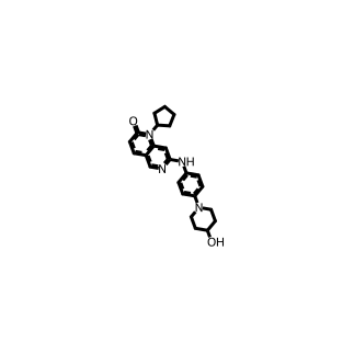 O=c1ccc2cnc(Nc3ccc(N4CCC(O)CC4)cc3)cc2n1C1CCCC1